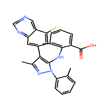 Cc1ccccc1-n1nc(C)c(-c2cc(F)c3cncnc3c2)c1Nc1c(C)cccc1C(=O)O